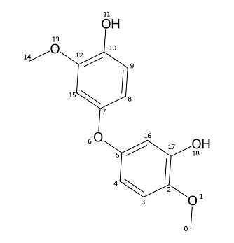 COc1ccc(Oc2ccc(O)c(OC)c2)cc1O